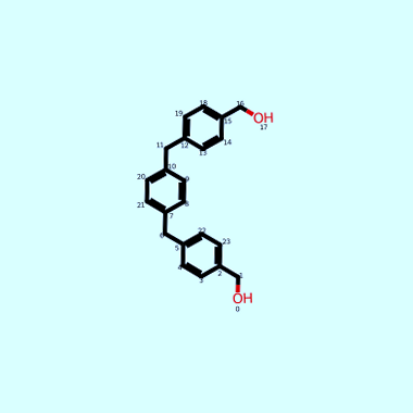 OCc1ccc(Cc2ccc(Cc3ccc(CO)cc3)cc2)cc1